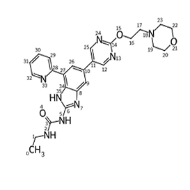 CCNC(=O)Nc1nc2cc(-c3cnc(OCCN4CCOCC4)nc3)cc(-c3ccccn3)c2[nH]1